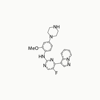 COc1cc(N2CCNCC2)ccc1Nc1ncc(F)c(-c2cnn3ccccc23)n1